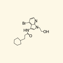 O=C(CCC1CCCCC1)Nc1cn(CCO)c2nccc(Br)c12